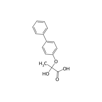 CC(O)(Oc1ccc(-c2ccccc2)cc1)C(=O)O